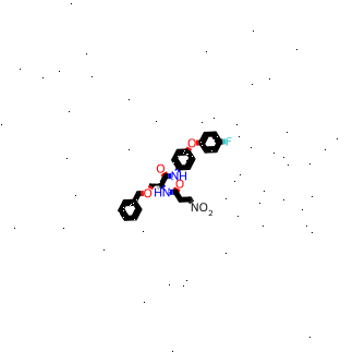 O=C(CC[N+](=O)[O-])N[C@@H](COCc1ccccc1)C(=O)Nc1ccc(Oc2ccc(F)cc2)cc1